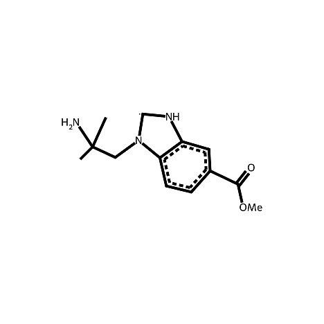 COC(=O)c1ccc2c(c1)N[CH]N2CC(C)(C)N